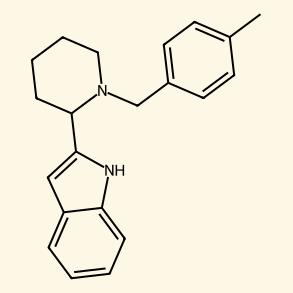 Cc1ccc(CN2CCCCC2c2cc3ccccc3[nH]2)cc1